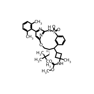 COC(=O)NC1(C)CC(C2c3cccc(c3)S(=O)(=O)Nc3nc(cc(-c4c(C)cccc4C)n3)OC[C@H]2CC(C)(C)C)C1